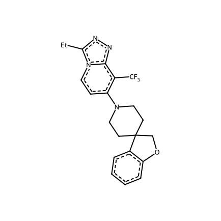 CCc1nnc2c(C(F)(F)F)c(N3CCC4(CC3)COc3ccccc34)ccn12